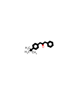 CC(C)(C)c1ccc(CC(=O)Cc2ccccc2)cc1